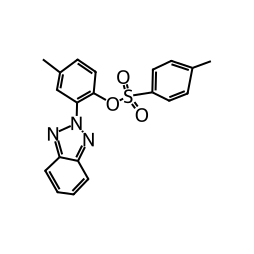 Cc1ccc(S(=O)(=O)Oc2ccc(C)cc2-n2nc3ccccc3n2)cc1